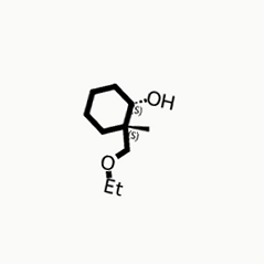 CCOC[C@]1(C)CCCC[C@@H]1O